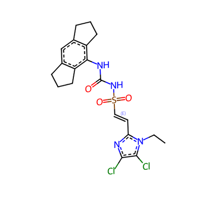 CCn1c(/C=C/S(=O)(=O)NC(=O)Nc2c3c(cc4c2CCC4)CCC3)nc(Cl)c1Cl